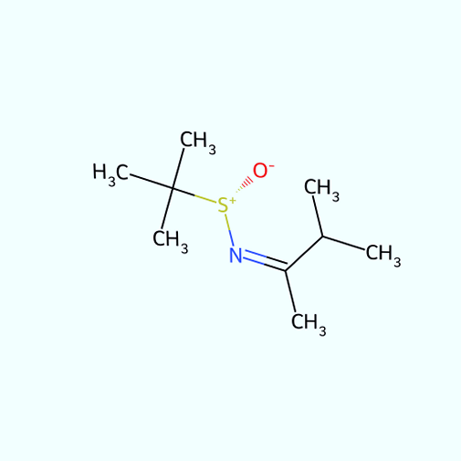 CC(=N[S@@+]([O-])C(C)(C)C)C(C)C